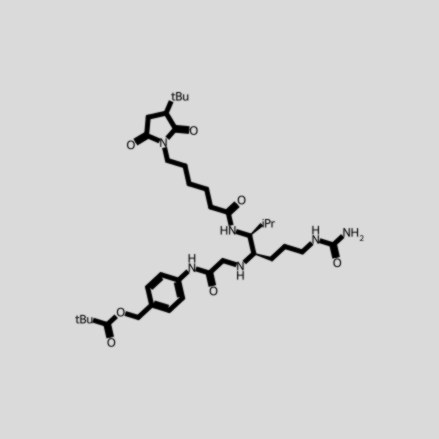 CC(C)[C@H](NC(=O)CCCCCN1C(=O)CC(C(C)(C)C)C1=O)[C@@H](CCCNC(N)=O)NCC(=O)Nc1ccc(COC(=O)C(C)(C)C)cc1